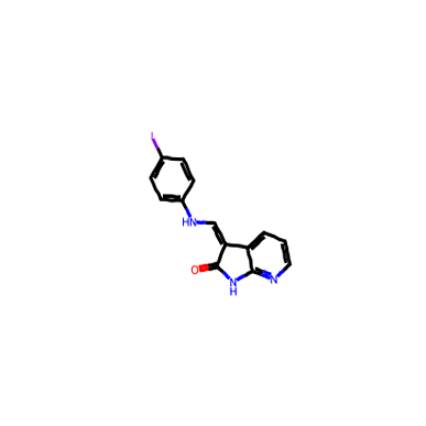 O=C1Nc2ncccc2/C1=C/Nc1ccc(I)cc1